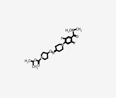 CC(C)OC(=O)N1CCC(ON=C2CCN(c3cc(F)c(C(=O)N(C)C)cc3F)CC2)CC1